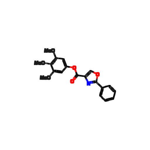 COc1cc(OC(=O)c2coc(-c3ccccc3)n2)cc(OC)c1OC